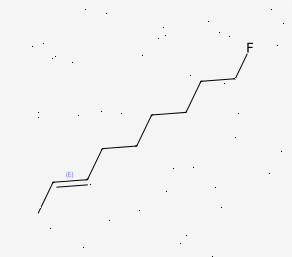 C/C=C/CCCCCCF